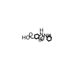 Cc1ccccc1NC(=O)Nc1ccc(CC(=O)O)cc1Br